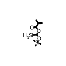 C=C(C)C(=O)OC([SiH3])O[Si](C)(C)C